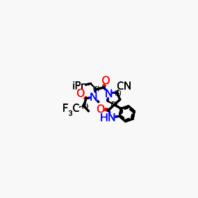 CC(C)C[C@@H](C(=O)N1C[C@]2(C[C@H]1C#N)C(=O)Nc1ccccc12)N(C)C(=O)[C@H](C)C(F)(F)F